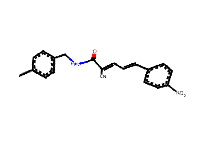 Cc1ccc(CNC(=O)/C(C#N)=C/C=C/c2ccc([N+](=O)[O-])cc2)cc1